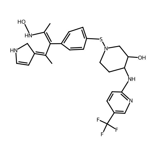 C/C(NO)=C(/C(C)=C1/C=CNC1)c1ccc(SN2CCC(Nc3ccc(C(F)(F)F)cn3)C(O)C2)cc1